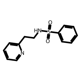 O=S(=O)(NCCc1ccccn1)c1ccccc1